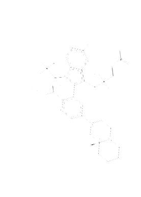 COC(C)c1ncc(N2CCN3CCCC[C@@H]3C2)cc1-c1c(CC(C)(C)COC(C)=O)c2cc(Br)ccc2n1CC(F)(F)F